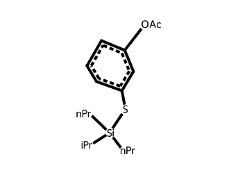 CCC[Si](CCC)(Sc1cccc(OC(C)=O)c1)C(C)C